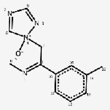 CN=C(C[N+]1([O-])C=NC=N1)c1cccc(C)c1